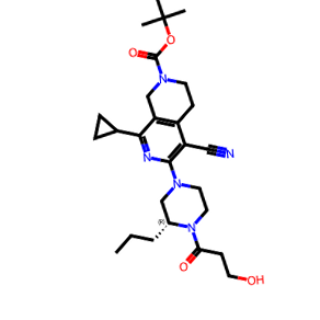 CCC[C@@H]1CN(c2nc(C3CC3)c3c(c2C#N)CCN(C(=O)OC(C)(C)C)C3)CCN1C(=O)CCO